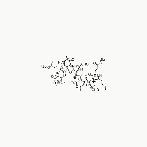 C=CCCC(=O)N[C@@H](CCC(=O)OC(C)(C)C)C(=O)N[C@@H](N[C@@H](C)C=O)C(=O)N(CC=C)[C@H](C(=O)N[C@@H](N[C@@H](C)C=O)C(=O)N[C@H](C(=O)N[C@@H](CCC(=O)OC(C)(C)C)C(=O)N[C@H](C(=O)OC)C(=O)[C@H](C)N)C(=O)[C@H](C)N)C(=O)[C@H](C)N